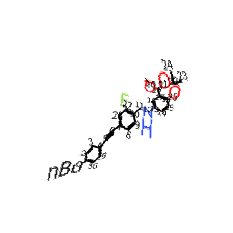 CCCCc1ccc(C#Cc2ccc(CNc3ccc4c(c3)C(=O)OC(C)(C)O4)c(F)c2)cc1